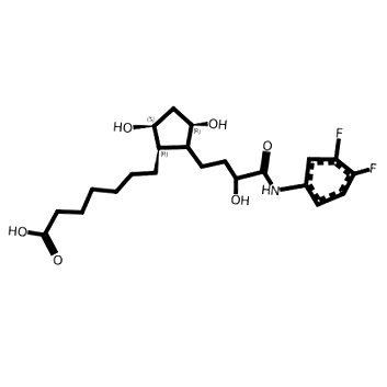 O=C(O)CCCCCC[C@@H]1C(CCC(O)C(=O)Nc2ccc(F)c(F)c2)[C@H](O)C[C@@H]1O